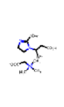 CCCCCCCCCCC1=NCCN1C(CCC)CC(=O)O.C[N+](C)(C)CC(=O)[O-]